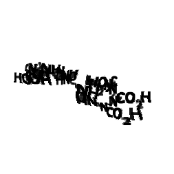 C[C@@H](NC(=O)c1ccc(NNC(=O)CCCNC(=O)CNCCN(CCN(CCN(CN)CC(=O)O)CC(=O)O)CC(=O)O)nc1)C(=O)N1CCC[C@H]1B(O)O